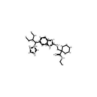 CCOC(=O)C1(COc2nc3ccc(C(C(CC)CC)n4cncn4)cc3s2)CCCCC1